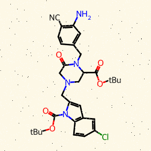 CC(C)(C)OC(=O)C1CN(Cc2cc3cc(Cl)ccc3n2C(=O)OC(C)(C)C)CC(=O)N1Cc1ccc(C#N)c(N)c1